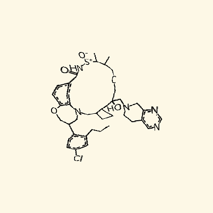 CCCc1cc(Cl)ccc1C1COc2ccc3cc2N(C1)CC1CCC1C(O)(CN1CCc2cncnc2C1)CCCC(C)C(C)[S+]([O-])NC3=O